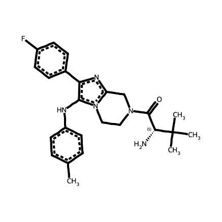 Cc1ccc(Nc2c(-c3ccc(F)cc3)nc3n2CCN(C(=O)[C@@H](N)C(C)(C)C)C3)cc1